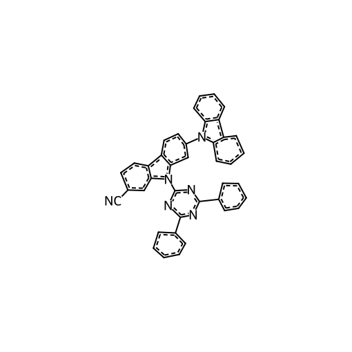 N#Cc1ccc2c3ccc(-n4c5ccccc5c5ccccc54)cc3n(-c3nc(-c4ccccc4)nc(-c4ccccc4)n3)c2c1